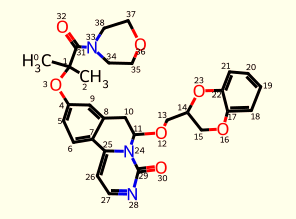 CC(C)(Oc1ccc2c(c1)CC(OCC1COc3ccccc3O1)n1c-2ccnc1=O)C(=O)N1CCOCC1